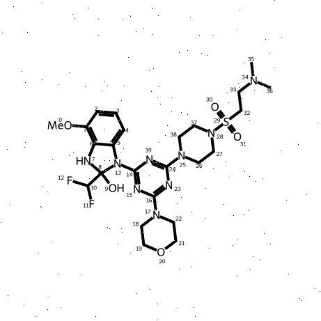 COc1cccc2c1NC(O)(C(F)F)N2c1nc(N2CCOCC2)nc(N2CCN(S(=O)(=O)CCN(C)C)CC2)n1